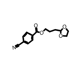 N#Cc1ccc(C(=O)OCCCC2OCCO2)cc1